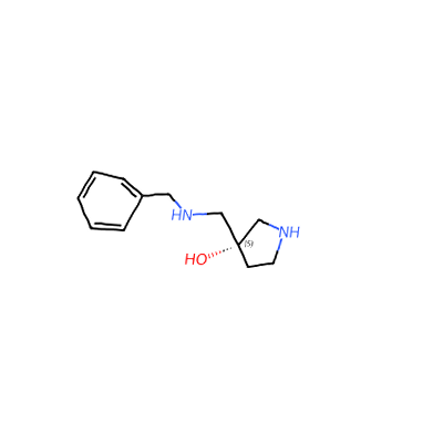 O[C@@]1(CNCc2ccccc2)CCNC1